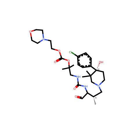 C[C@@H](CN1CC[C@](O)(c2ccc(Cl)cc2)C(C)(C)C1)C(C=O)NC(=O)NCC(C)(C)OC(=O)OCCN1CCOCC1